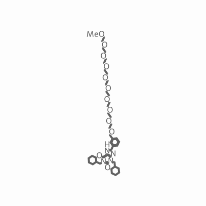 COCCOCCOCCOCCOCCOCCOCCOCCOCCOCc1cccc(-c2nc3c([nH]2)c(=O)n(CC2CCCCC2)c(=O)n3CC2CCCCC2)c1